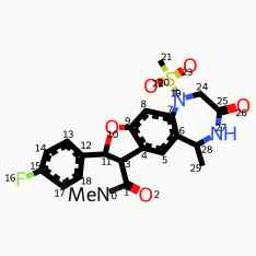 CNC(=O)C1c2cc3c(cc2OC1c1ccc(F)cc1)N(S(C)(=O)=O)CC(=O)NC3C